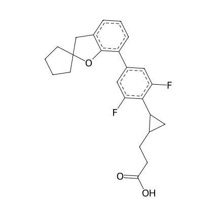 O=C(O)CCC1CC1c1c(F)cc(-c2cccc3c2OC2(CCCC2)C3)cc1F